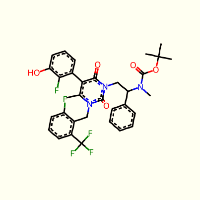 Cc1c(-c2cccc(O)c2F)c(=O)n(CC(c2ccccc2)N(C)C(=O)OC(C)(C)C)c(=O)n1Cc1c(F)cccc1C(F)(F)F